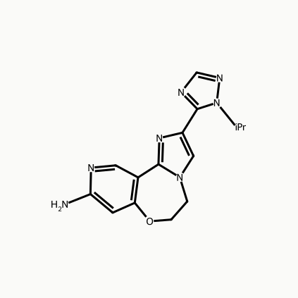 CC(C)n1ncnc1-c1cn2c(n1)-c1cnc(N)cc1OCC2